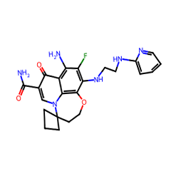 NC(=O)c1cn2c3c(c(NCCNc4ccccn4)c(F)c(N)c3c1=O)OCCC21CCC1